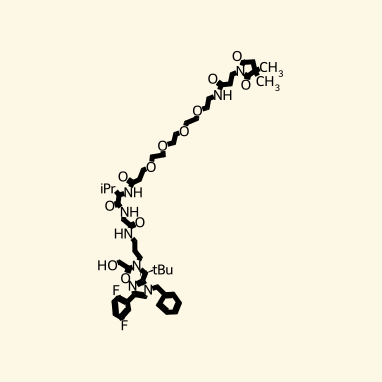 CC(C)C(NC(=O)CCOCCOCCOCCOCCNC(=O)CCN1C(=O)CC(C)(C)C1=O)C(=O)NCC(=O)NCCCN(C(=O)CO)[C@@H](c1nc(-c2cc(F)ccc2F)cn1Cc1ccccc1)C(C)(C)C